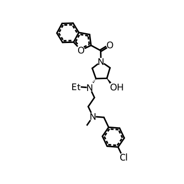 CCN(CCN(C)Cc1ccc(Cl)cc1)[C@@H]1CN(C(=O)c2cc3ccccc3o2)C[C@H]1O